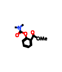 COC(=O)c1ccccc1OC(=O)N(C)C